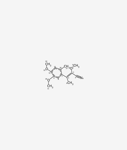 COC(C#N)=C(C)c1cc(OC)c(OC)cc1C